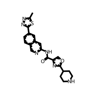 Cc1nnc(-c2ccc3cnc(NC(=O)c4coc(C5CCNCC5)n4)cc3c2)s1